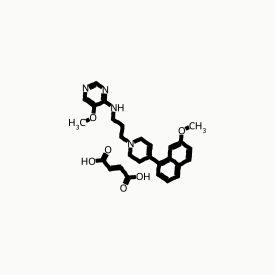 COc1ccc2cccc(C3=CCN(CCCNc4ncncc4OC)CC3)c2c1.O=C(O)C=CC(=O)O